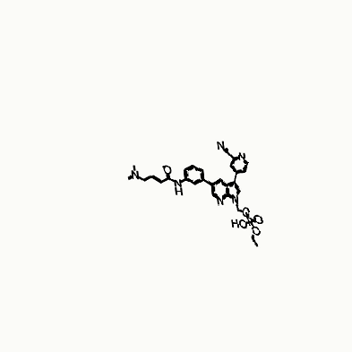 CCOP(=O)(O)OCn1cc(-c2ccnc(C#N)c2)c2cc(-c3cccc(NC(=O)C=CCN(C)C)c3)cnc21